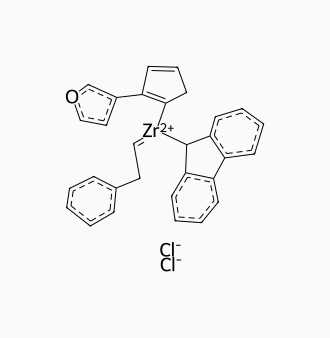 C1=CC(c2ccoc2)=[C](/[Zr+2](=[CH]/Cc2ccccc2)[CH]2c3ccccc3-c3ccccc32)C1.[Cl-].[Cl-]